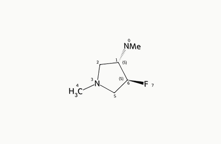 CN[C@H]1CN(C)C[C@@H]1F